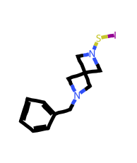 ISN1CC2(CN(Cc3ccccc3)C2)C1